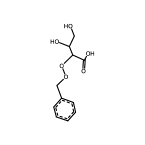 O=C(O)C(OOCc1ccccc1)C(O)CO